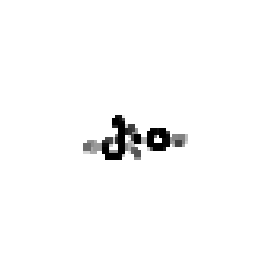 Cn1c(-c2ccc(C#N)cc2)nc(=O)c2cc(Cl)ccc21